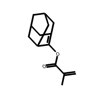 C=C(C)C(=O)OC1=C2CC3CC(C2)CC1C3